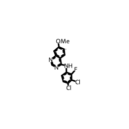 COc1[c]cc2c(Nc3ccc(Cl)c(Cl)c3F)ncnc2c1